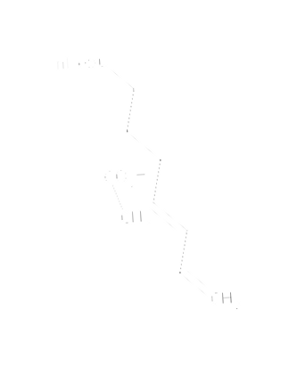 C=CC=CCCCCCCCCCC.CC(=O)O